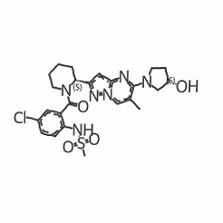 Cc1cn2nc([C@@H]3CCCCN3C(=O)c3cc(Cl)ccc3NS(C)(=O)=O)cc2nc1N1CC[C@H](O)C1